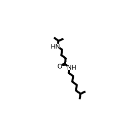 CC(C)CCCCCNC(=O)CCCNC(C)C